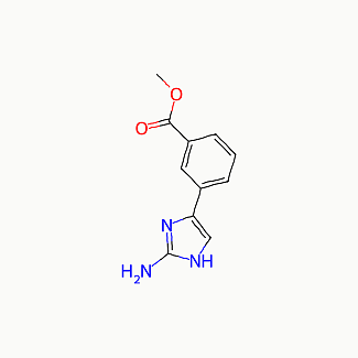 COC(=O)c1cccc(-c2c[nH]c(N)n2)c1